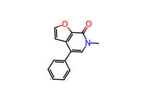 Cn1cc(-c2cc[c]cc2)c2ccoc2c1=O